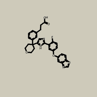 O=C(O)CCc1cccc(C2(c3cnc(-c4cc(Oc5ccc6scnc6c5)ccc4F)[nH]3)CCOCC2)c1